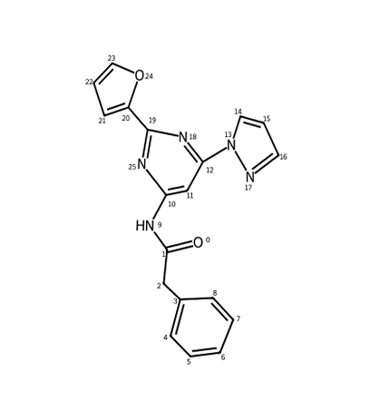 O=C(Cc1ccccc1)Nc1cc(-n2cccn2)nc(-c2ccco2)n1